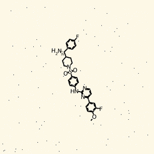 COc1ccc(-c2ccnc(Nc3ccc(S(=O)(=O)N4CCC([C@H](N)c5ccc(F)cc5)CC4)cc3)n2)cc1F